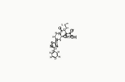 CC(C)C[C@H](C(=O)N1CCN(c2nc(-c3ccccc3)ns2)CC1)[C@H](O)C(=O)O